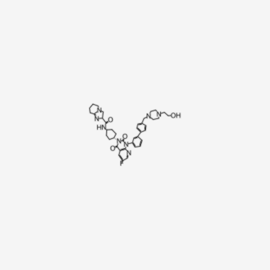 O=C(N[C@H]1CC[C@@H](n2c(=O)c3cc(F)cnc3n(-c3cccc(-c4ccc(CN5CCN(CCO)CC5)cc4)c3)c2=O)CC1)C1CN2CCCCC2=N1